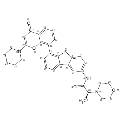 C[C@@H](C(=O)Nc1ccc2sc3c(-c4cccc5c(=O)cc(N6CCCCC6)oc45)cccc3c2c1)N1CCOCC1